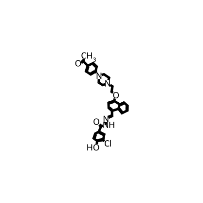 CC(=O)c1ccc(N2CCN(CCOc3ccc(/C=N/NC(=O)c4ccc(O)c(Cl)c4)c4ccccc34)CC2)cc1